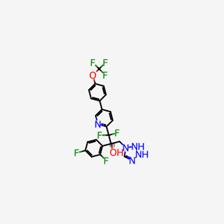 O[C@@](CN1C=NNN1)(c1ccc(F)cc1F)C(F)(F)c1ccc(-c2ccc(OC(F)(F)F)cc2)cn1